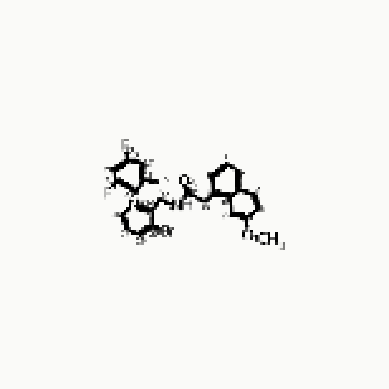 COc1ccc2cccc(CC(=O)N[C@@H](Cc3cc(F)cc(F)c3)c3ncccc3Br)c2c1